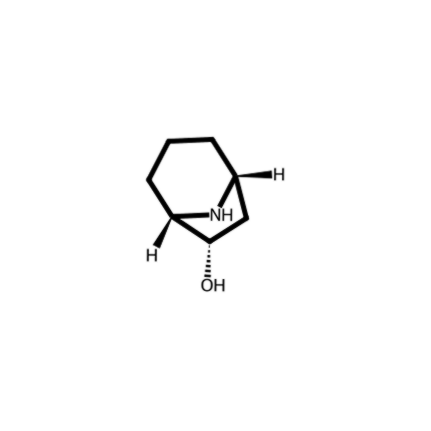 O[C@H]1C[C@H]2CCC[C@@H]1N2